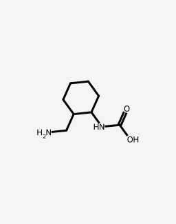 NCC1CCCCC1NC(=O)O